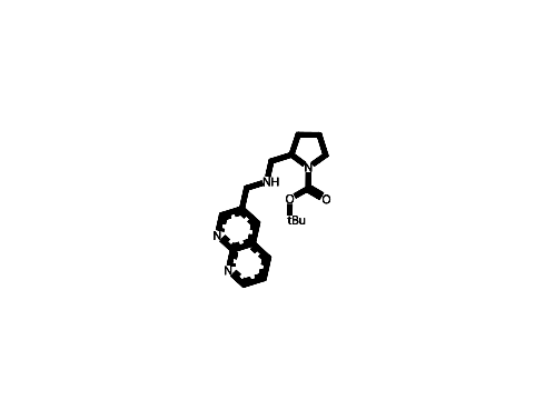 CC(C)(C)OC(=O)N1CCCC1CNCc1cnc2ncccc2c1